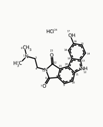 CN(C)CCN1C(=O)c2ccc3[nH]c4ccc(O)cc4c3c2C1=O.Cl